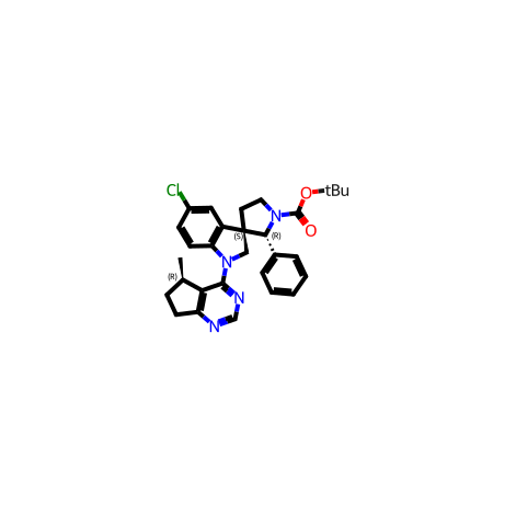 C[C@@H]1CCc2ncnc(N3C[C@]4(CCN(C(=O)OC(C)(C)C)[C@@H]4c4ccccc4)c4cc(Cl)ccc43)c21